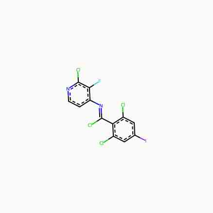 Fc1c(N=C(Cl)c2c(Cl)cc(I)cc2Cl)ccnc1Cl